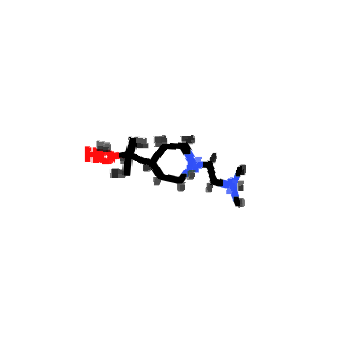 CN(C)CCN1CCC(C(C)(C)O)CC1